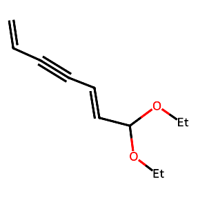 C=CC#C/C=C/C(OCC)OCC